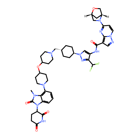 Cn1c(=O)n(C2CCC(=O)NC2=O)c2cccc(N3CCC(OC4CCN(C[C@H]5CC[C@H](n6cc(NC(=O)c7cnn8ccc(N9C[C@H]%10C[C@@H]9CO%10)nc78)c(C(F)F)n6)CC5)CC4)CC3)c21